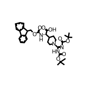 CC(C)(C)OC(=O)/N=C(/NC(=O)OC(C)(C)C)N1CCC([C@H](NC(=O)OCC2c3ccccc3-c3ccccc32)C(=O)O)CC1